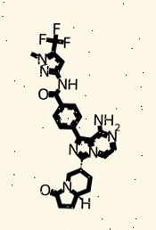 Cn1nc(NC(=O)c2ccc(-c3nc([C@@H]4CC[C@H]5CCC(=O)N5C4)n4ccnc(N)c34)cc2)cc1C(F)(F)F